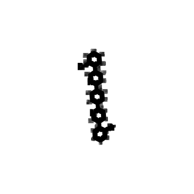 Brc1ccccc1-c1ccc(-c2ccc(-c3ccc(-c4ccccc4Br)cn3)cc2)nc1